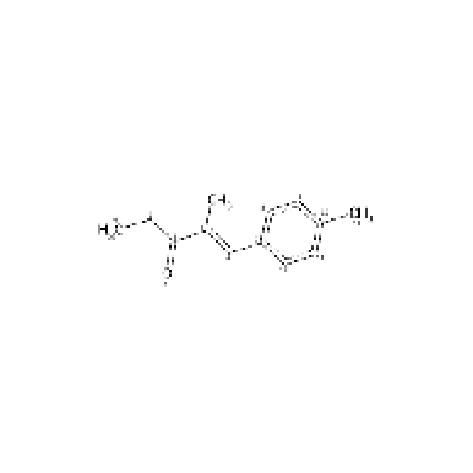 CCC(=O)/C(C)=C/c1ccc(C)cc1